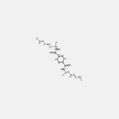 COCCOCC(C)NC(=O)c1ccc(C(=O)NC(C)COCCOC)cc1